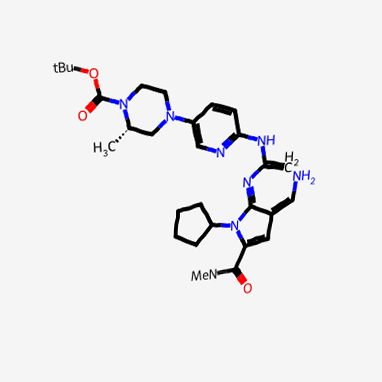 C=C(/N=C1\C(=C/N)C=C(C(=O)NC)N1C1CCCC1)Nc1ccc(N2CCN(C(=O)OC(C)(C)C)[C@@H](C)C2)cn1